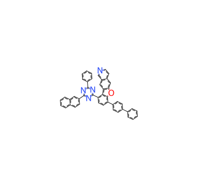 c1ccc(-c2ccc(-c3ccc(-c4nc(-c5ccccc5)nc(-c5ccc6ccccc6c5)n4)c4c3oc3cc5ccncc5cc34)cc2)cc1